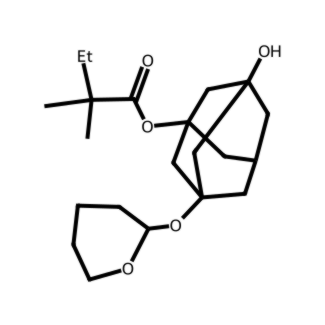 CCC(C)(C)C(=O)OC12CC3CC(O)(C1)CC(OC1CCCCO1)(C3)C2